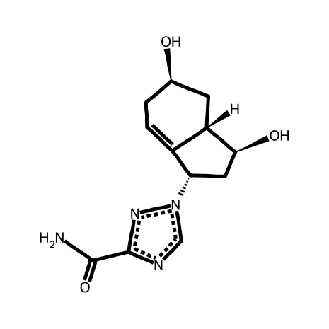 NC(=O)c1ncn([C@H]2C[C@H](O)[C@H]3C[C@H](O)CC=C32)n1